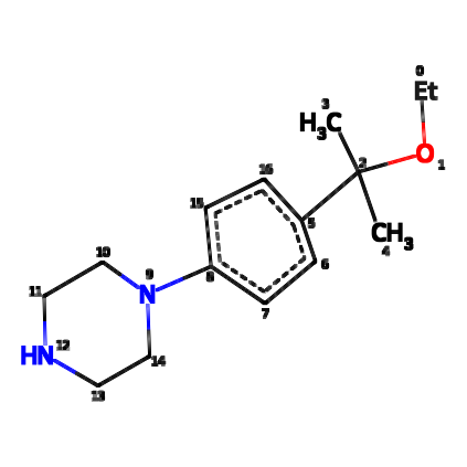 CCOC(C)(C)c1ccc(N2CCNCC2)cc1